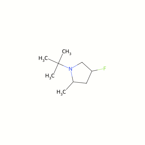 CC1CC(F)CN1C(C)(C)C